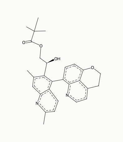 Cc1ccc2c(-c3ccc4c5c(ccnc35)CCO4)c([C@H](O)COC(=O)C(C)(C)C)c(C)cc2n1